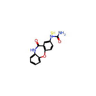 NC(=O)N(S)c1ccc2c(c1)C(=O)Nc1ccccc1O2